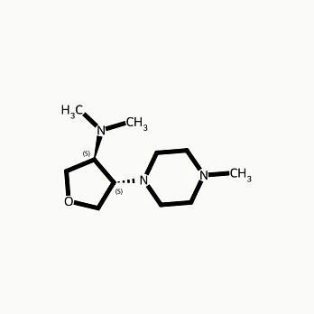 CN1CCN([C@@H]2COC[C@H]2N(C)C)CC1